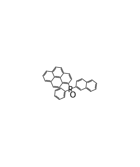 O=P(c1ccccc1)(c1ccc2ccccc2c1)c1ccc2ccc3cccc4ccc1c2c34